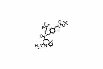 CC(C)(C)OC(=O)NCc1ccc(CN(CCC(F)(F)F)C(=O)C2=Cc3sccc3N=C(N)C2)cc1